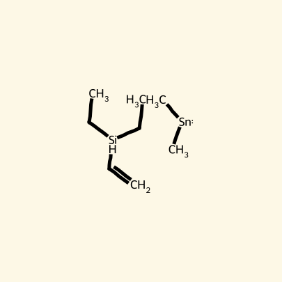 C=C[SiH](CC)CC.[CH3][Sn][CH3]